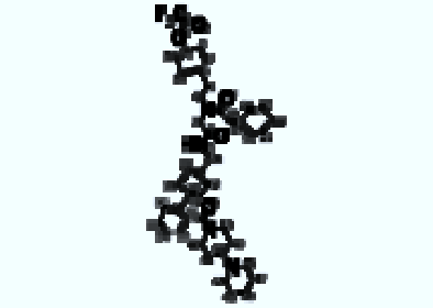 O=C(CN(CCc1ccc(OC(=O)C(F)(F)F)cc1)C(=O)Cc1ccccc1)NCc1ccc(-c2ccccc2C(=O)N2CCC(N3CCCCC3)CC2)cc1